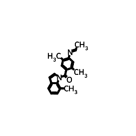 C/C=N/c1cc(C)c(C(=O)n2ccc3cccc(C)c32)cc1C